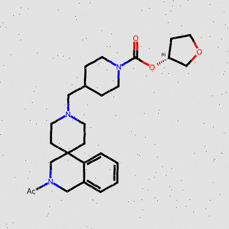 CC(=O)N1Cc2ccccc2C2(CCN(CC3CCN(C(=O)O[C@@H]4CCOC4)CC3)CC2)C1